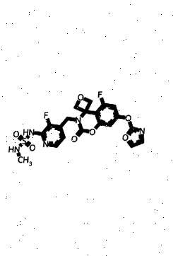 CNS(=O)(=O)Nc1nccc(CN2C(=O)Oc3cc(Oc4ncco4)cc(F)c3C23COC3)c1F